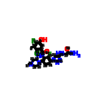 Cc1c(F)c(O)cc(C(=O)Nc2c(N3CCN(C)CC3)ccc(-n3cc(NCC(N)=O)nn3)c2F)c1Cl